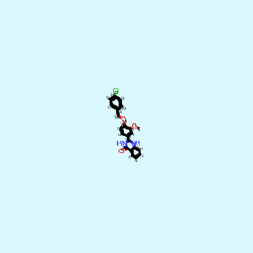 COc1cc(C2NC(=O)c3ccccc3N2)ccc1OCc1ccc(Cl)cc1